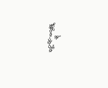 O=C(O)C(F)(F)F.O=C1CCC(N2C(=O)c3ccc(N4CCN(CCC5CCN(c6ncc(-c7ccc8c9cnccc9n(C(F)F)c8c7)cc6F)CC5)CC4)cc3C2=O)C(=O)N1